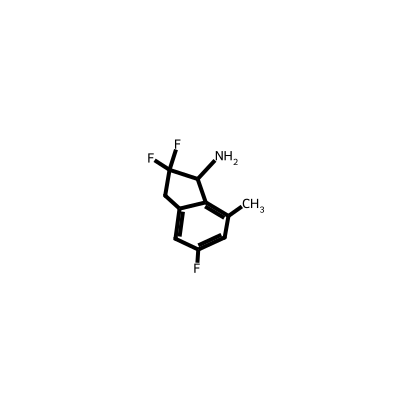 Cc1cc(F)cc2c1C(N)C(F)(F)C2